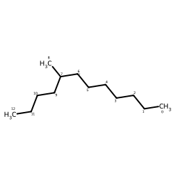 CCCCCC[CH]C(C)CCCC